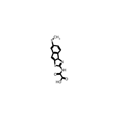 CSc1ccc2c(c1)C=C1SC(NC(=O)C(=O)O)=NC12